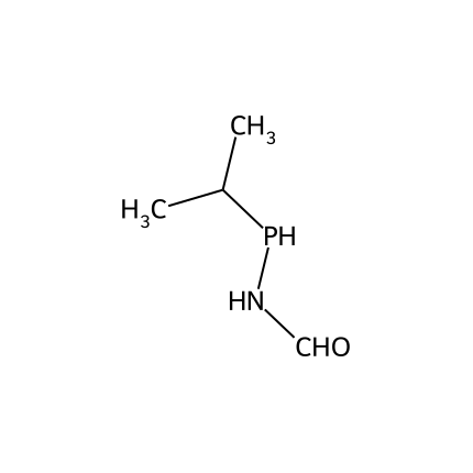 CC(C)PNC=O